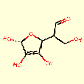 O=CC(CO)C1O[C@@H](O)C(O)=C1O